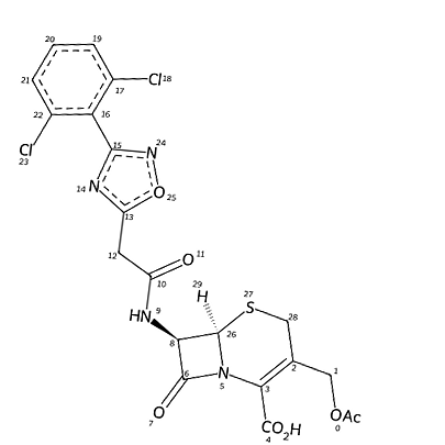 CC(=O)OCC1=C(C(=O)O)N2C(=O)[C@@H](NC(=O)Cc3nc(-c4c(Cl)cccc4Cl)no3)[C@H]2SC1